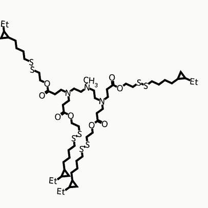 CCC1CC1CCCCSSCCOC(=O)CCN(CCC(=O)OCCSSCCCCC1CC1CC)CCN(C)CCN(CCC(=O)OCCSSCCCCC1CC1CC)CCC(=O)OCCSSCCCCC1CC1CC